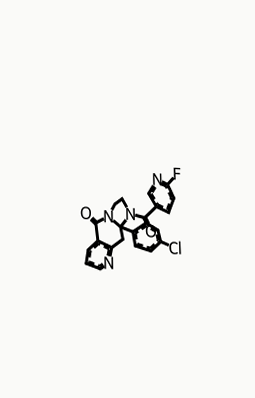 O=C(c1ccc(F)nc1)N1CCN2C(=O)c3cccnc3CC12c1ccc(Cl)cc1